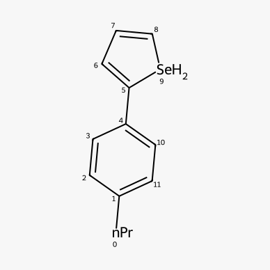 CCCc1ccc(C2=CC=C[SeH2]2)cc1